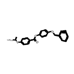 CCCCCCC(C)Oc1ccc(C(=O)Oc2ccc(OCc3ccccc3)cc2)cc1